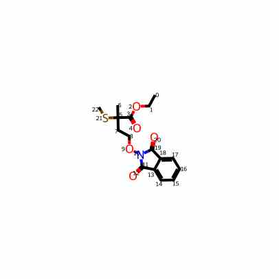 CCOC(=O)C(C)(CCON1C(=O)c2ccccc2C1=O)SC